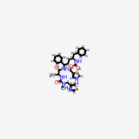 CC(C)C(NC(=O)N(C)Cc1cscn1)C(=O)NC(CCC(Cc1ccccc1)NC(=O)OCC1=CNCS1)c1ccccc1